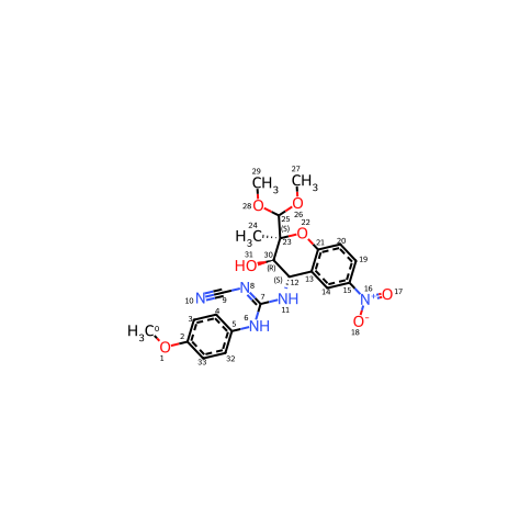 COc1ccc(NC(=NC#N)N[C@H]2c3cc([N+](=O)[O-])ccc3O[C@](C)(C(OC)OC)[C@@H]2O)cc1